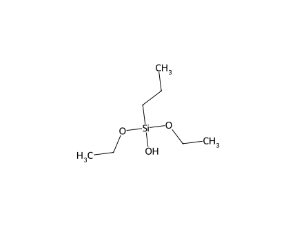 CCC[Si](O)(OCC)OCC